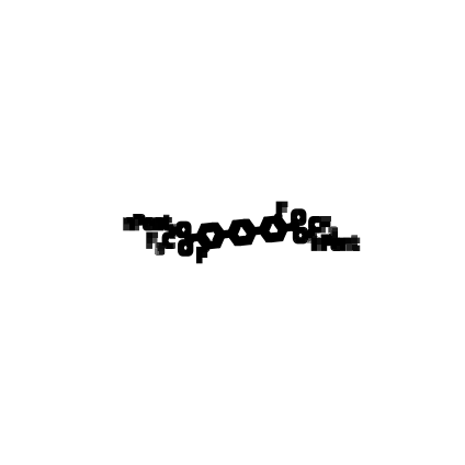 CCCCC[C@H](OC(=O)c1ccc(-c2ccc(-c3ccc(C(=O)O[C@@H](CCCCC)C(F)(F)F)c(F)c3)cc2)cc1F)C(F)(F)F